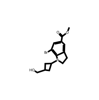 COC(=O)c1cc(Br)c2c(c1)CCN2C1CC(CO)C1